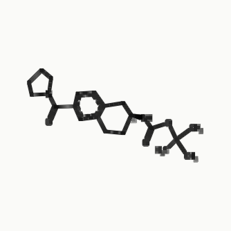 CC(C)(C)OC(=O)N[C@H]1CCc2cc(C(=O)N3CCCC3)ccc2C1